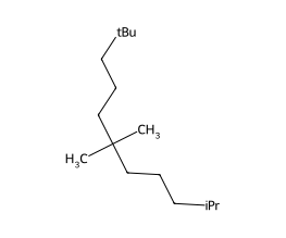 CC(C)CCCC(C)(C)CCCC(C)(C)C